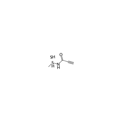 C#CC(=O)N[SH](C)S